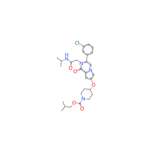 CC(C)COC(=O)N1CCC(Oc2cc3c(=O)n(CC(=O)NC(C)C)c(-c4cccc(Cl)c4)cn3c2)CC1